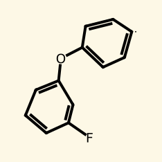 Fc1cccc(Oc2cc[c]cc2)c1